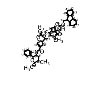 COC(=O)[C@@H](C)C[C@H](Cc1ccccc1)NC(=O)c1csc([C@@H](C[C@H](C(C)C)N(C)C(=O)C2(NC(=O)OCC3c4ccccc4-c4ccccc43)CCC2)OC(C)=O)n1